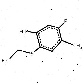 Cc1cc(SCC(F)(F)F)c(P)cc1F